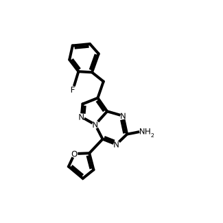 Nc1nc(-c2ccco2)n2ncc(Cc3ccccc3F)c2n1